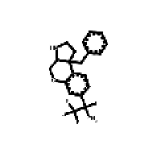 CC(F)(c1ccc2c(c1)OCC1NCCC21Cc1ccccc1)C(F)(F)F